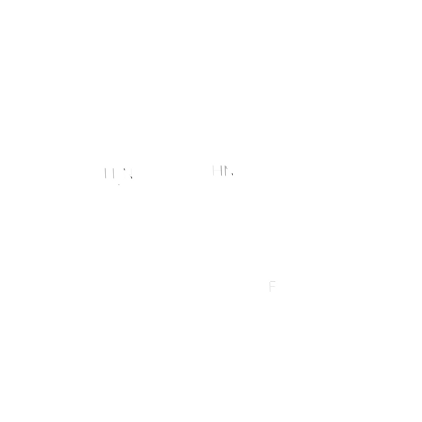 NCCC1CC(C(F)F)c2ccccc2N1